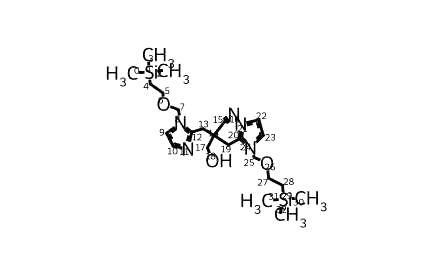 C[Si](C)(C)CCOCn1ccnc1CC(C#N)(CO)Cc1nccn1COCC[Si](C)(C)C